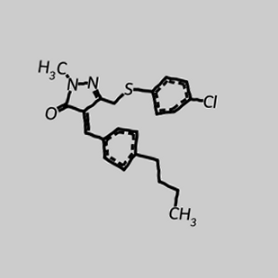 CCCCc1ccc(C=C2C(=O)N(C)N=C2CSc2ccc(Cl)cc2)cc1